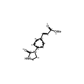 COC(=O)C=Cc1ccc(N2CCNC2=O)cc1